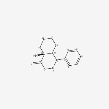 C=C1COC(c2ccccc2)C2CCCC[C@@H]12